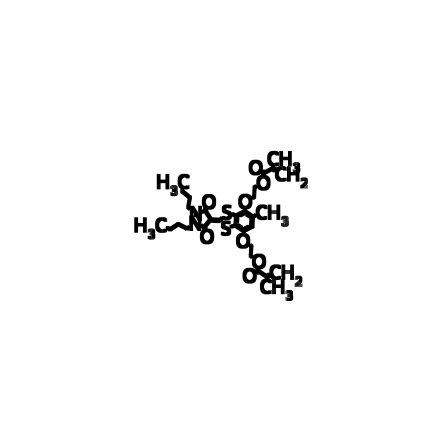 C=C(C)C(=O)OCCOc1cc(C)c(OCCOC(=O)C(=C)C)c2c1SC(=C1C(=O)N(CCCC)N(CCCC)C1=O)S2